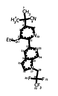 CCSc1cc(C(C)(C)C#N)cnc1-c1cc2ccn(CC(F)(F)C(F)(F)F)c2cn1